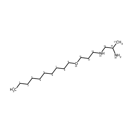 CCCCCCCCCCOCCCNCC(C)N